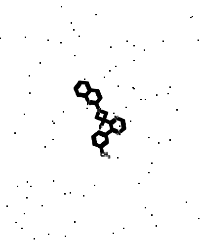 Cc1cccc(-c2nccnc2C2(F)CN(c3ccc4ccccc4n3)C2)c1